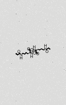 C=CC(=O)NCCCC[C@@H]1NC2(N[C@@H](CCCCNC(=O)C=C)C(=O)O2)OC1=O